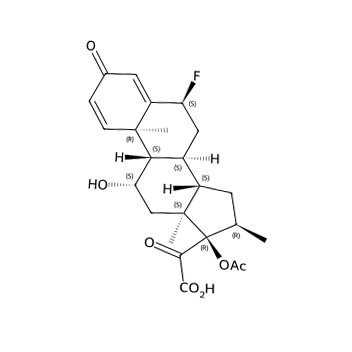 CC(=O)O[C@]1(C(=O)C(=O)O)[C@H](C)C[C@H]2[C@@H]3C[C@H](F)C4=CC(=O)C=C[C@]4(C)[C@H]3[C@@H](O)C[C@@]21C